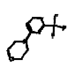 FC(F)(F)C1=CC(N2CCOCC2)=CC[CH]1